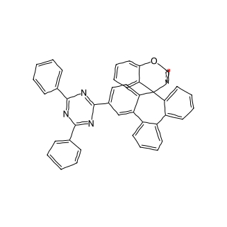 c1ccc(-c2nc(-c3ccccc3)nc(-c3ccc4c(c3)-c3ccccc3-c3ccccc3C43c4ccccc4Oc4ccccc43)n2)cc1